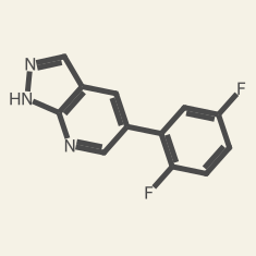 Fc1ccc(F)c(-c2cnc3[nH]ncc3c2)c1